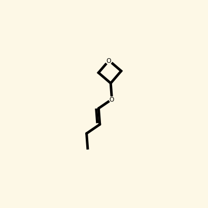 CCC=COC1COC1